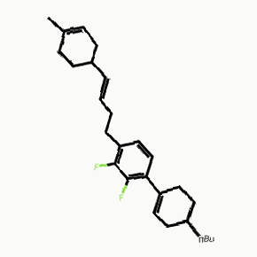 CCCCC1CC=C(c2ccc(CC/C=C/C3CC=C(C)CC3)c(F)c2F)CC1